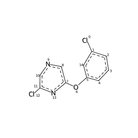 Clc1cccc(Oc2cncc(Cl)n2)c1